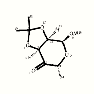 CO[C@H]1O[C@H](C)C(=O)[C@H]2OC(C)(C)O[C@@H]12